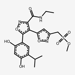 CCNC(=O)c1noc(-c2cc(C(C)C)c(O)cc2O)c1-c1cc(CS(=O)(=O)OC)no1